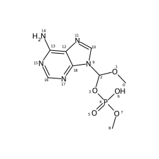 COC(OP(=O)(O)OC)n1cnc2c(N)ncnc21